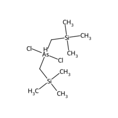 C[Si](C)(C)C[AsH](Cl)(Cl)C[Si](C)(C)C